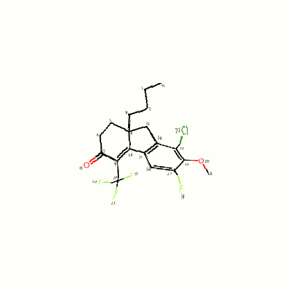 CCCCC12CCC(=O)C(C(F)(F)F)=C1c1cc(F)c(OC)c(Cl)c1C2